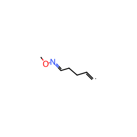 [CH]=CCC/C=N/OC